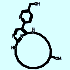 OCc1ccc(-c2cnc3nc2NCCCCC(O)CCCCCCCN3)nc1